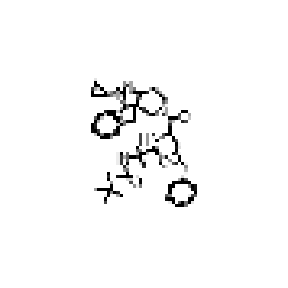 CC(C)(C)OC(=O)NC(C)(C)C(=O)NC(COCc1ccccc1)C(=O)N1CCC2=NN(C3CC3)C(=O)C2(Cc2ccccc2)C1